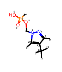 Cc1nn(COP(C)(=O)O)c(C)c1C(C)(C)C